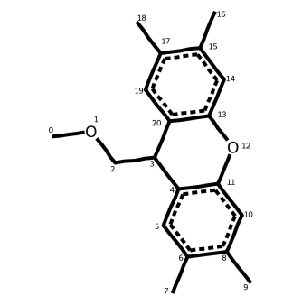 COCC1c2cc(C)c(C)cc2Oc2cc(C)c(C)cc21